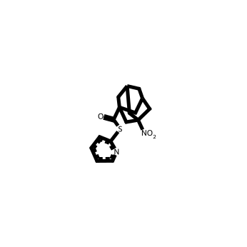 O=C(Sc1ccccn1)C12CC3CC(C1)CC([N+](=O)[O-])(C3)C2